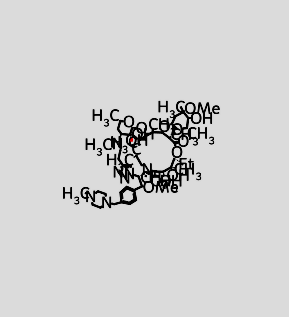 CC[C@H]1OC(=O)[C@H](C)[C@@H](O[C@H]2C[C@@](C)(OC)[C@@H](O)[C@H](C)O2)[C@H](C)[C@@H](O[C@@H]2O[C@H](C)C[C@H](N(C)CCc3cn([C@H](CF)[C@H](OC)c4ccc(CN5CCN(C)CC5)cc4)nn3)[C@H]2O)[C@](C)(O)C[C@@H](C)CN(C)[C@H](C)[C@@H](O)[C@]1(C)O